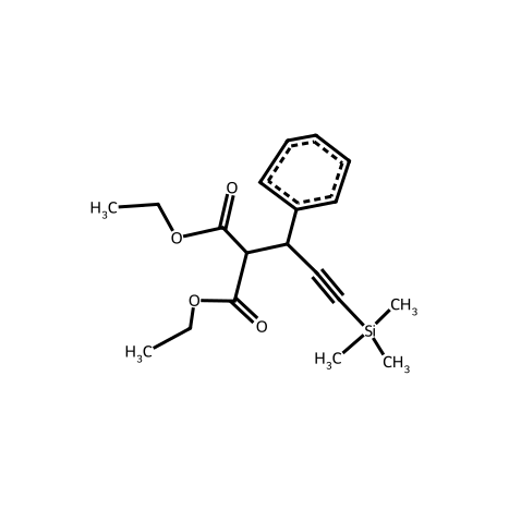 CCOC(=O)C(C(=O)OCC)C(C#C[Si](C)(C)C)c1ccccc1